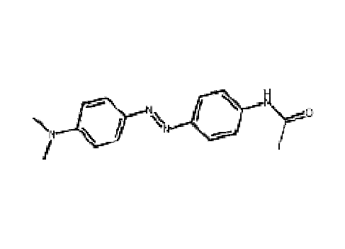 CN(C)c1ccc(N=Nc2ccc(NC(=O)I)cc2)cc1